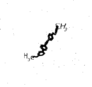 CC#CCCc1ccc(C#Cc2ccc(C3CCC(CCC)CC3)cc2)cc1